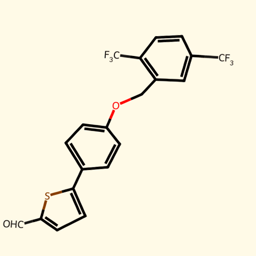 O=Cc1ccc(-c2ccc(OCc3cc(C(F)(F)F)ccc3C(F)(F)F)cc2)s1